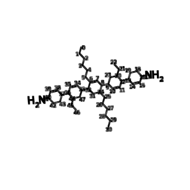 CCCCCCC1=CC(C2C=CC(C3C=CC(N)CC3)C(CC)C2)C(CCCCCC)CC1C1C=CC(C2C=CC(N)CC2)C(CC)C1